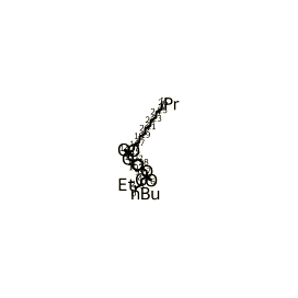 CCCCC(CC)COC(=O)OC1CCC(OC(=O)OCCCCCCCCCCC(C)C)CC1